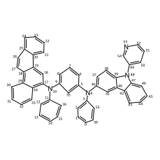 c1ccc(N(c2cccc(N(c3ccccc3)c3cc4c5ccccc5ccc4c4ccccc34)c2)c2ccc3c(c2)c2ccccc2n3-c2cccnc2)cc1